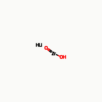 [LiH].[O]=[Zr][OH]